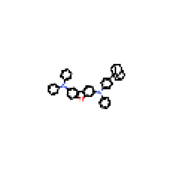 c1ccc(N(c2ccc(C34CC5CC(CC(C5)C3)C4)cc2)c2ccc3c(c2)oc2ccc(N(c4ccccc4)c4ccccc4)cc23)cc1